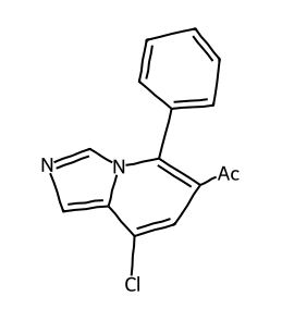 CC(=O)c1cc(Cl)c2cncn2c1-c1ccccc1